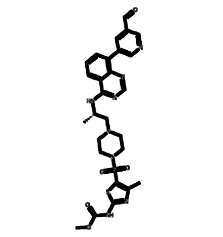 COC(=O)Nc1nc(C)c(S(=O)(=O)N2CCN(C[C@H](C)Nc3ncnc4c(-c5cncc(C=O)c5)cccc34)CC2)s1